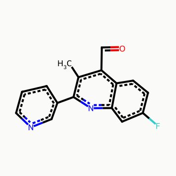 Cc1c(-c2cccnc2)nc2cc(F)ccc2c1C=O